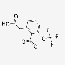 O=C(O)Cc1cccc(OC(F)(F)F)c1I(=O)=O